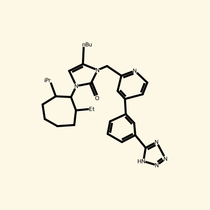 CCCCc1cn(C2C(CC)CCCCC2C(C)C)c(=O)n1Cc1cc(-c2cccc(-c3nnn[nH]3)c2)ccn1